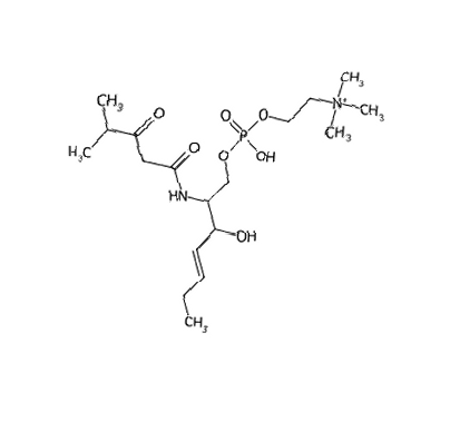 CCC=CC(O)C(COP(=O)(O)OCC[N+](C)(C)C)NC(=O)CC(=O)C(C)C